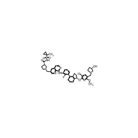 COc1nc(O[C@@H]2CCc3c(-c4cccc(Nc5nccc6cc(CN7CC[C@@H](C(=O)NS(=O)(=O)C8(C)CC8)C7)cnc56)c4F)cccc32)c(Cl)cc1CN1CC[C@@H](O)C1